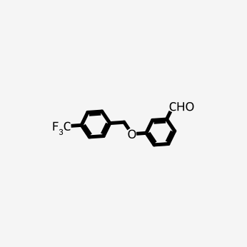 O=Cc1cccc(OCc2ccc(C(F)(F)F)cc2)c1